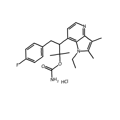 CCn1c(C)c(C)c2nccc(C(Cc3ccc(F)cc3)C(C)(C)OC(N)=O)c21.Cl